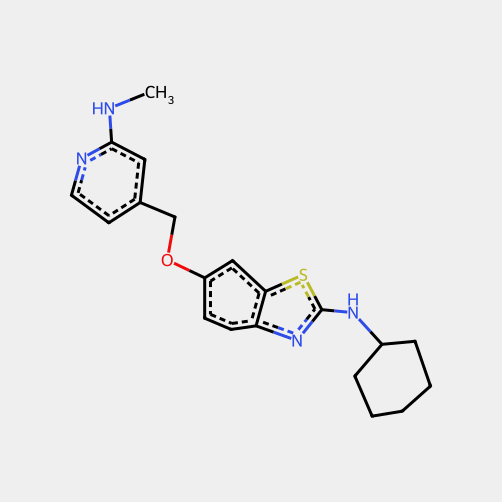 CNc1cc(COc2ccc3nc(NC4CCCCC4)sc3c2)ccn1